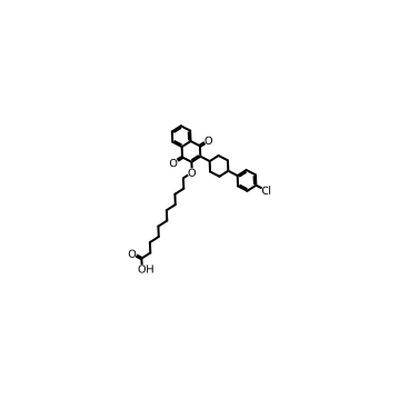 O=C(O)CCCCCCCCCCOC1=C(C2CCC(c3ccc(Cl)cc3)CC2)C(=O)c2ccccc2C1=O